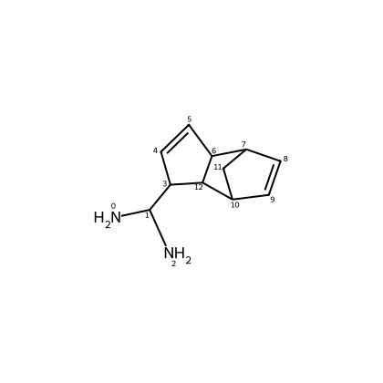 NC(N)C1C=CC2C3C=CC(C3)C12